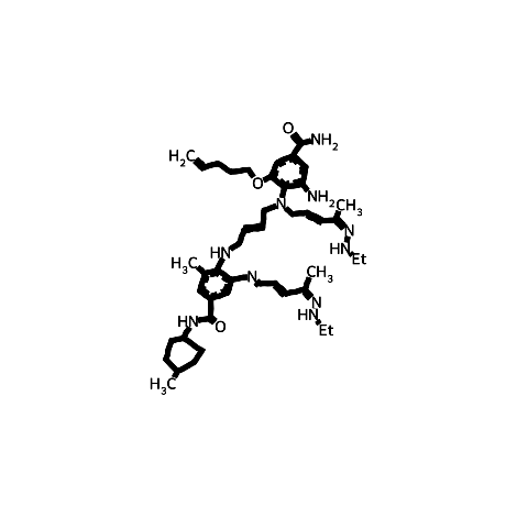 C=CCCCOc1cc(C(N)=O)cc(N)c1N(C/C=C/CNc1c(C)cc(C(=O)NC2CCC(C)CC2)cc1/N=C/C=C/C(C)=N\NCC)C/C=C/C(C)=N\NCC